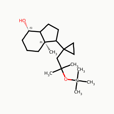 CC(C)(CC1(C2CCC3[C@@H](O)CCC[C@@]32C)CC1)O[Si](C)(C)C